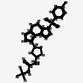 Cc1ccc(S(=O)(=O)n2ccc3c2ncc2cnc(N4CCC(NC(=O)OC(C)(C)C)C4)n23)cc1